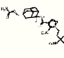 CC(=O)NC(C)(C)CCn1ncc(C(=O)N[C@H]2C3CC4CC2C[C@](COC(N)=O)(C4)C3)c1OCC(C)C